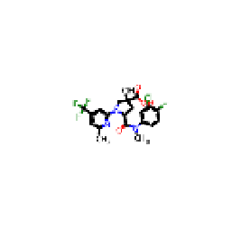 Cc1cc(C(F)(F)F)cc(N2CC(C)(C(=O)O)CC2C(=O)N(C)c2ccc(F)c(Cl)c2)n1